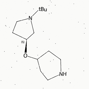 CC(C)(C)N1CC[C@H](OC2CCNCC2)C1